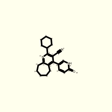 N#Cc1c(C2CCCCC2)nc2c(c1-c1ccc(=O)[nH]c1)CCCCC2